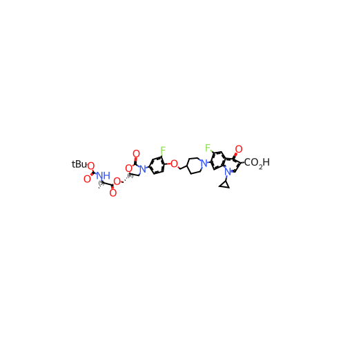 C[C@H](NC(=O)OC(C)(C)C)C(=O)OC[C@H]1CN(c2ccc(OCC3CCN(c4cc5c(cc4F)c(=O)c(C(=O)O)cn5C4CC4)CC3)c(F)c2)C(=O)O1